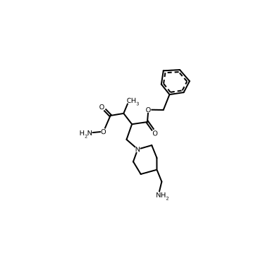 CC(C(=O)ON)C(CN1CCC(CN)CC1)C(=O)OCc1ccccc1